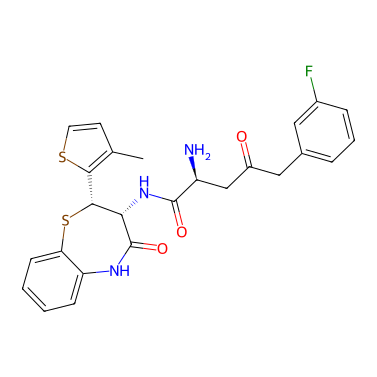 Cc1ccsc1[C@H]1Sc2ccccc2NC(=O)[C@H]1NC(=O)[C@@H](N)CC(=O)Cc1cccc(F)c1